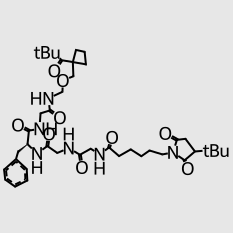 CC(C)(C)C(=O)C1(COCNC(=O)CNC(=O)[C@H](Cc2ccccc2)NC(=O)CNC(=O)CNC(=O)CCCCCN2C(=O)CC(C(C)(C)C)C2=O)CCC1